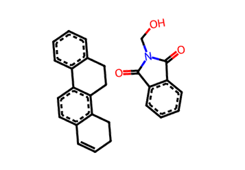 C1=Cc2ccc3c(c2CC1)CCc1ccccc1-3.O=C1c2ccccc2C(=O)N1CO